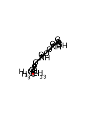 CC1(C)OB(c2ccc(OCCCCNC(=O)CCOCCOCCNC(=O)CCN3C(=O)C=CC3O)cc2)OC1(C)C